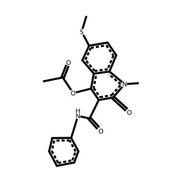 CSc1ccc2c(c1)c(OC(C)=O)c(C(=O)Nc1ccccc1)c(=O)n2C